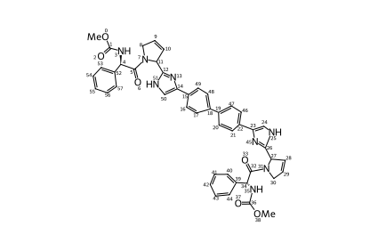 COC(=O)N[C@@H](C(=O)N1CC=CC1c1nc(-c2ccc(-c3ccc(-c4c[nH]c(C5C=CCN5C(=O)[C@H](NC(=O)OC)c5ccccc5)n4)cc3)cc2)c[nH]1)c1ccccc1